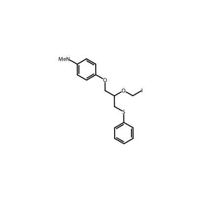 CNc1ccc(OCC(CSc2ccccc2)OCI)cc1